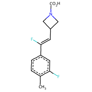 Cc1ccc(C(F)=CC2CN(C(=O)O)C2)cc1F